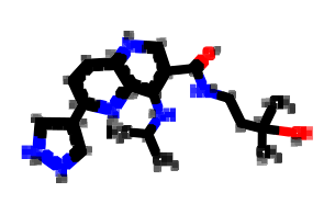 CC(C)Nc1c(C(=O)NCCC(C)(C)O)cnc2ccc(-c3cn[nH]c3)nc12